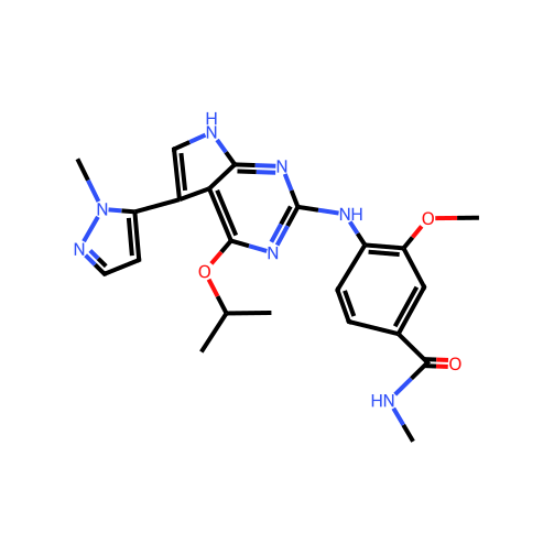 CNC(=O)c1ccc(Nc2nc(OC(C)C)c3c(-c4ccnn4C)c[nH]c3n2)c(OC)c1